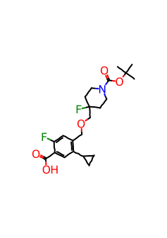 CC(C)(C)OC(=O)N1CCC(F)(COCc2cc(F)c(C(=O)O)cc2C2CC2)CC1